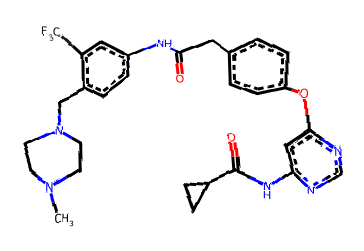 CN1CCN(Cc2ccc(NC(=O)Cc3ccc(Oc4cc(NC(=O)C5CC5)ncn4)cc3)cc2C(F)(F)F)CC1